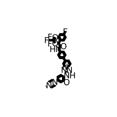 COc1cc(N2CCN(C)CC2)ccc1Nc1nc2ccc(-c3ccc(NC(=O)C(OC(=O)C(F)(F)F)c4ccc(F)cc4)cc3)cn2n1